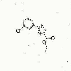 CCOC(=O)c1cnn(-c2cccc(Cl)c2)n1